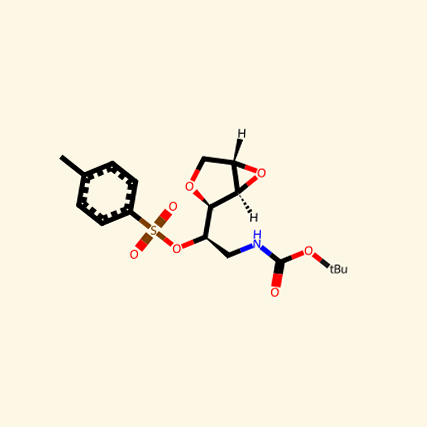 Cc1ccc(S(=O)(=O)O[C@H](CNC(=O)OC(C)(C)C)[C@H]2OC[C@@H]3O[C@@H]23)cc1